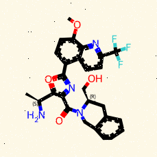 COc1ccc(-c2nc(C(=O)N3Cc4ccccc4C[C@@H]3CO)c([C@H](C)N)o2)c2ccc(C(F)(F)F)nc12